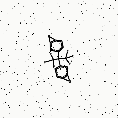 FC(F)(F)C(c1ccc2c(c1)O2)(c1ccc2c(c1)O2)C(F)(F)F